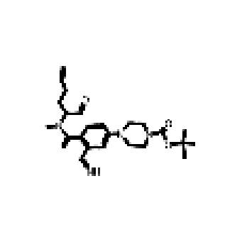 C=CCCC(C=O)N(C)C(=C)c1ccc(N2CCN(C(=O)OC(C)(C)C)CC2)cc1C=N